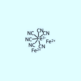 N#[C][Fe-3]([C]#N)([C]#N)([C]#N)([C]#N)[C]#N.[Fe+2].[Fe+2]